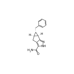 NC(=O)c1[nH]nc2c1C[C@H]1[C@H](Cc3ccccc3)[C@@H]21